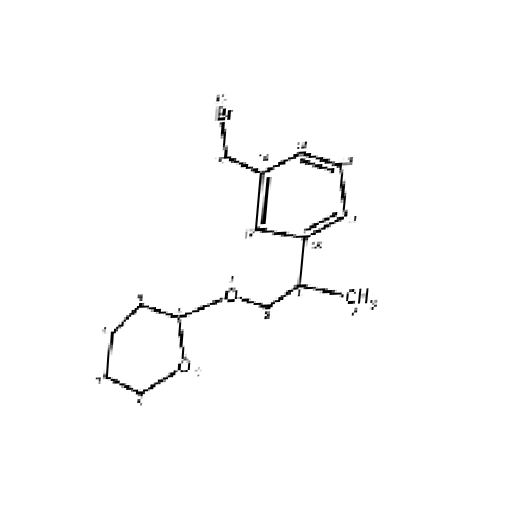 CC(COC1CCCCO1)c1cccc(CBr)c1